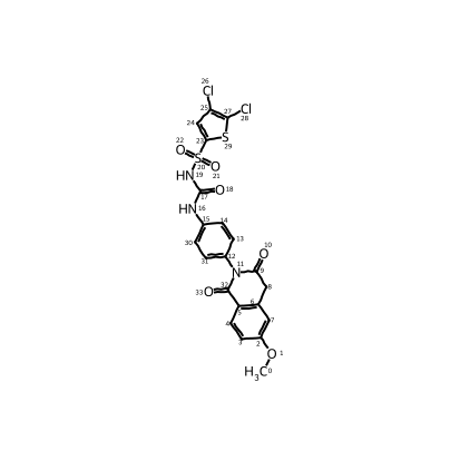 COc1ccc2c(c1)CC(=O)N(c1ccc(NC(=O)NS(=O)(=O)c3cc(Cl)c(Cl)s3)cc1)C2=O